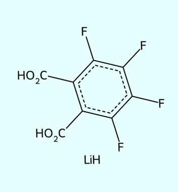 O=C(O)c1c(F)c(F)c(F)c(F)c1C(=O)O.[LiH]